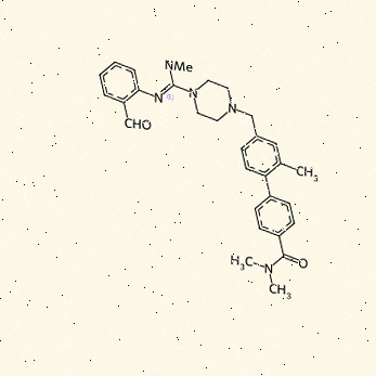 CN/C(=N\c1ccccc1C=O)N1CCN(Cc2ccc(-c3ccc(C(=O)N(C)C)cc3)c(C)c2)CC1